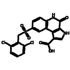 O=C(O)c1c[nH]c2c(=O)[nH]c3ccc(S(=O)(=O)Cc4c(Cl)cccc4Cl)cc3c12